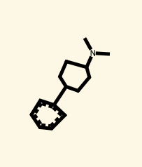 CN(C)C1CCC(c2ccccc2)CC1